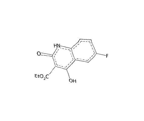 CCOC(=O)c1c(O)c2cc(F)ccc2[nH]c1=O